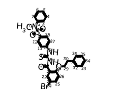 CN(c1ccccc1)S(=O)(=O)c1ccc(NC(=S)NC(=O)c2cc(Br)ccc2OCCc2ccccc2)cc1